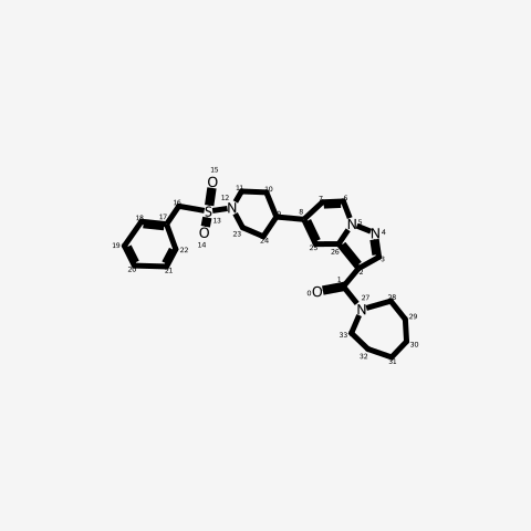 O=C(c1cnn2ccc(C3CCN(S(=O)(=O)Cc4ccccc4)CC3)cc12)N1CCCCCC1